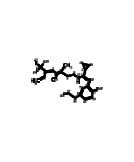 C=C/C(=C\C(Cl)=C(/C)CCN/C(=N\c1cc(SCF)ccc1F)C1CC1)C(F)(F)F